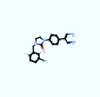 CCc1ccc(F)c(CN2CCN(c3ccc(/C(C=N)=C/N)cc3)C2=O)c1